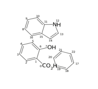 O=C(O)c1ccccc1O.c1ccc2[nH]ccc2c1.c1ccccc1